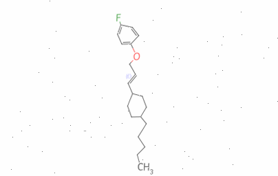 CCCCCC1CCC(/C=C/COc2ccc(F)cc2)CC1